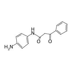 Nc1ccc(NC(=O)CC(=O)c2ccccc2)cc1